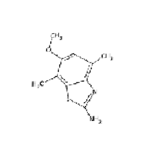 COc1cc(C)c2nc(N)sc2c1C